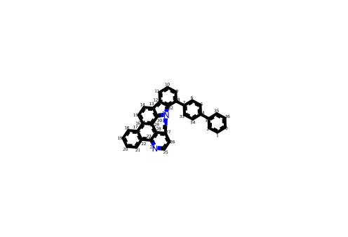 c1ccc(-c2ccc(-c3cccc4c5ccc6c7ccccc7c7nccc8c7c6c5n8c34)cc2)cc1